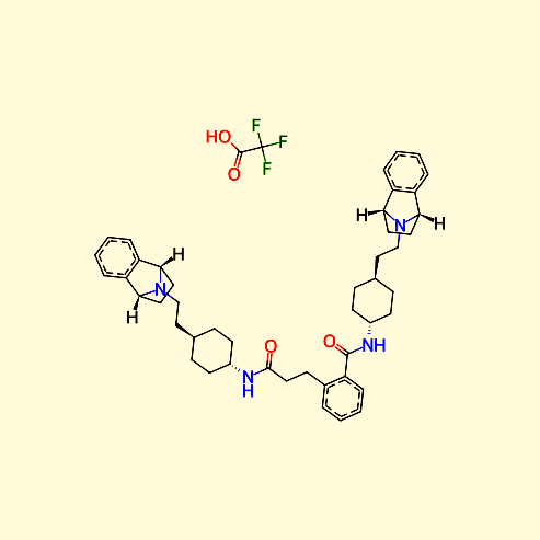 O=C(CCc1ccccc1C(=O)N[C@H]1CC[C@H](CCN2[C@@H]3CC[C@H]2c2ccccc23)CC1)N[C@H]1CC[C@H](CCN2[C@@H]3CC[C@H]2c2ccccc23)CC1.O=C(O)C(F)(F)F